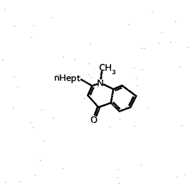 CCCCCCCc1cc(=O)c2ccccc2n1C